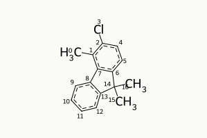 Cc1c(Cl)ccc2c1-c1ccccc1C2(C)C